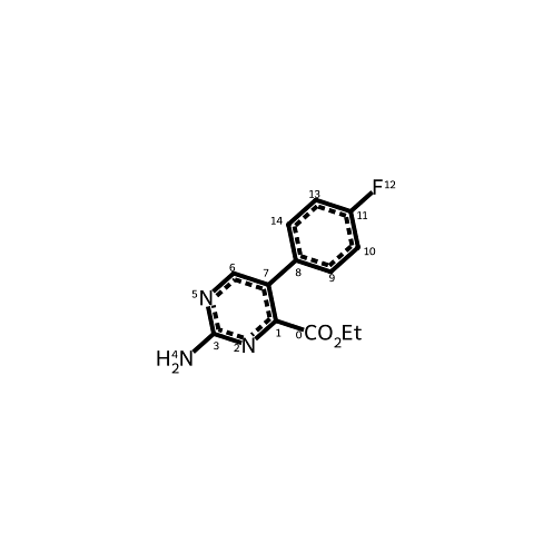 CCOC(=O)c1nc(N)ncc1-c1ccc(F)cc1